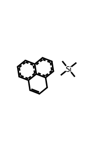 C1=Cc2cccc3cccc(c23)C1.C[Si](C)(C)C